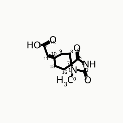 CN1C(=O)NC(=O)C12CCC(=CC(=O)O)CC2